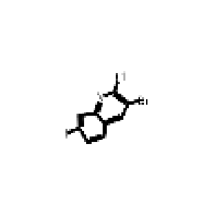 Clc1nc2cc(I)ccc2cc1Br